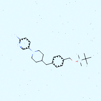 CC(C)(C)[Si](C)(C)OCc1ccc(CC2CCN(c3ccc(N)nc3)CC2)cc1